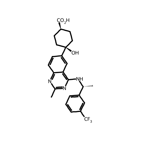 Cc1nc(N[C@H](C)c2cccc(C(F)(F)F)c2)c2cc([C@]3(O)CC[C@@H](C(=O)O)CC3)ccc2n1